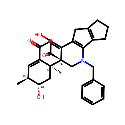 C[C@H]1C=C2C(=O)C=C3C4=C(C5=C(CCC5)C4)N(Cc4ccccc4)C[C@]3(C(=O)CO)[C@@]2(C)C[C@@H]1O